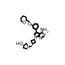 Nc1ncnc2c1c(-c1cccc(OCC3CCCCO3)c1)cn2[C@H]1C[C@@H](CN2CC[C@H](O)C2)C1